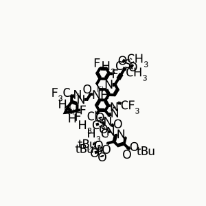 CN(C(=O)N(c1nn(CC(F)(F)F)c2c(-c3ccc(C#CC(C)(C)S(C)(=O)=O)nc3[C@H](Cc3cc(F)cc(F)c3)NC(=O)Cn3nc(C(F)(F)F)c4c3C(F)(F)[C@@H]3C[C@H]43)ccc(Cl)c12)S(C)(=O)=O)c1ncc(C(=O)OC(C)(C)C)cc1COP(=O)(OC(C)(C)C)OC(C)(C)C